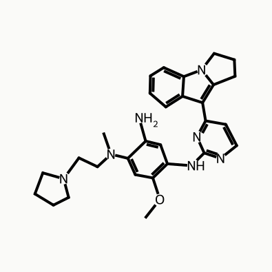 COc1cc(N(C)CCN2CCCC2)c(N)cc1Nc1nccc(-c2c3n(c4ccccc24)CCC3)n1